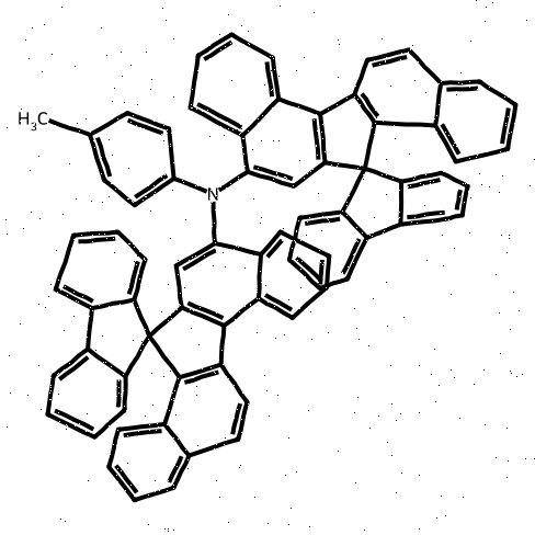 Cc1ccc(N(c2cc3c(c4ccccc24)-c2ccc4ccccc4c2C32c3ccccc3-c3ccccc32)c2cc3c(c4ccccc24)-c2ccc4ccccc4c2C32c3ccccc3-c3ccccc32)cc1